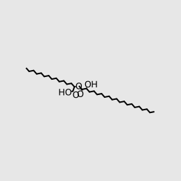 CCCCCCCCCCCCCCCCCCC(O)C(=O)OC(CCCCCCCCCCCCC)C(=O)O